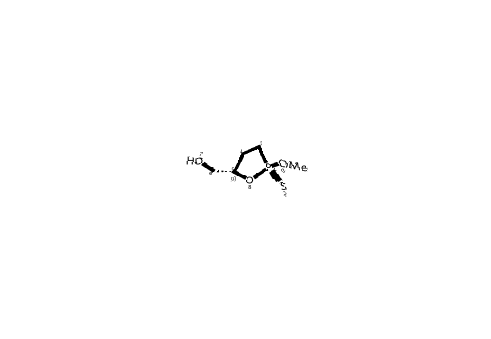 COP1(=S)CC[C@@H](CO)O1